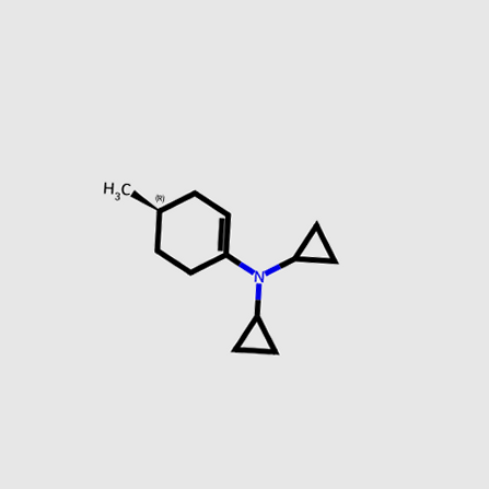 C[C@H]1CC=C(N(C2CC2)C2CC2)CC1